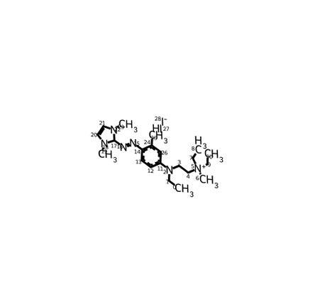 CCN(CC[N+](C)(CC)CC)c1ccc(N=NC2N(C)C=CN2C)c(C)c1.I.[I-]